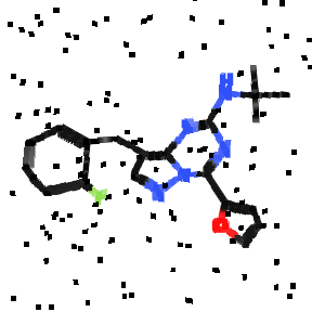 CC(C)(C)Nc1nc(-c2ccco2)n2ncc(Cc3ccccc3F)c2n1